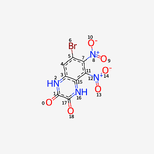 O=c1[nH]c2cc(Br)c([N+](=O)[O-])c([N+](=O)[O-])c2[nH]c1=O